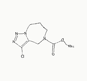 CC(C)(C)OC(=O)N1CCCn2nnc(Cl)c2C1